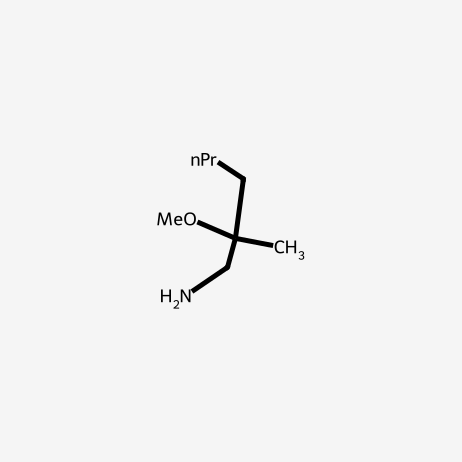 CCCCC(C)(CN)OC